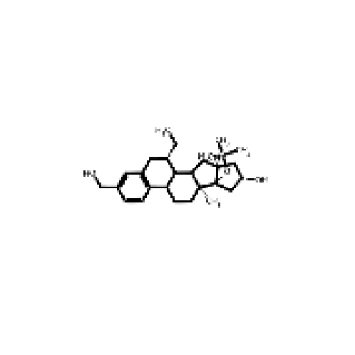 CC[C@@H]1Cc2cc(CO)ccc2C2CC[C@@]3(C)C(C[C@H]4C[C@@H](O)C[C@]43O[Si](C)(C)C)C21